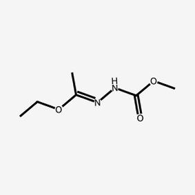 CCO/C(C)=N/NC(=O)OC